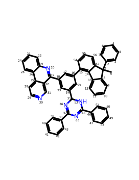 CC1(c2ccccc2)c2ccccc2-c2c(-c3cc(-c4nc5ccccc5c5ccncc45)cc(C4N=C(c5ccccc5)N=C(c5ccccc5)N4)c3)cccc21